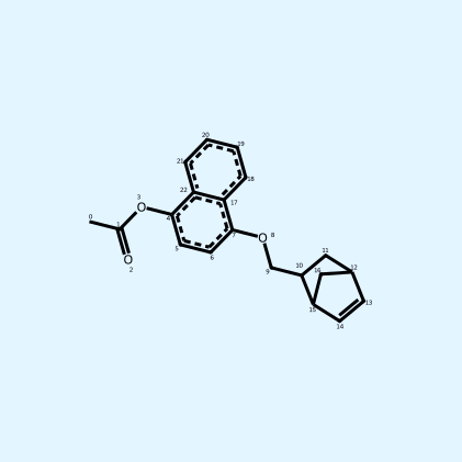 CC(=O)Oc1ccc(OCC2CC3C=CC2C3)c2ccccc12